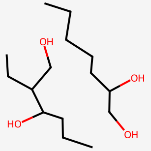 CCCC(O)C(CC)CO.CCCCCC(O)CO